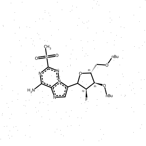 CCCCOC[C@H]1OC(c2cnc3c(N)nc(S(C)(=O)=O)nn23)[C@H](F)[C@@H]1OCCCC